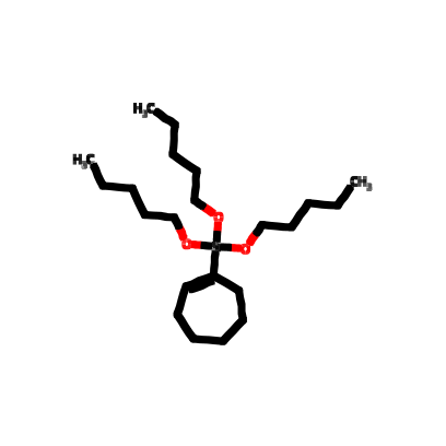 CCCCCO[Si](OCCCCC)(OCCCCC)C1=CCCCCC1